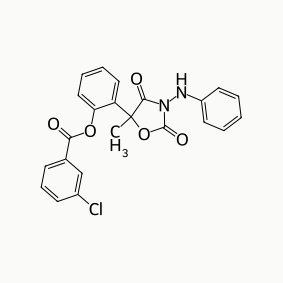 CC1(c2ccccc2OC(=O)c2cccc(Cl)c2)OC(=O)N(Nc2ccccc2)C1=O